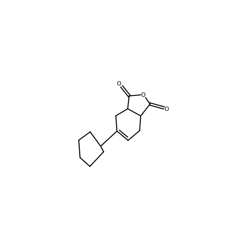 O=C1OC(=O)C2CC(C3CCCCC3)=CCC12